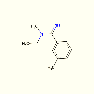 CCN(C)C(=N)c1cccc(C)c1